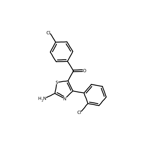 Nc1nc(-c2ccccc2Cl)c(C(=O)c2ccc(Cl)cc2)s1